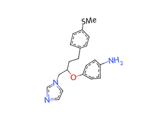 CSc1ccc(CCC(Cn2ccnc2)Oc2ccc(N)cc2)cc1